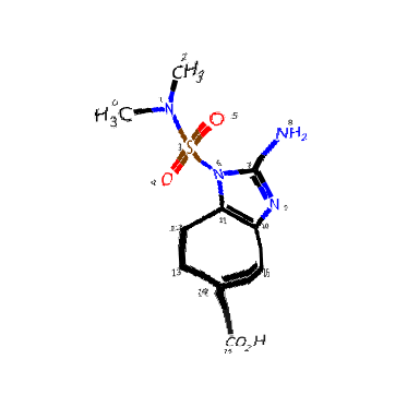 CN(C)S(=O)(=O)n1c(N)nc2c1CCC(C(=O)O)=C2